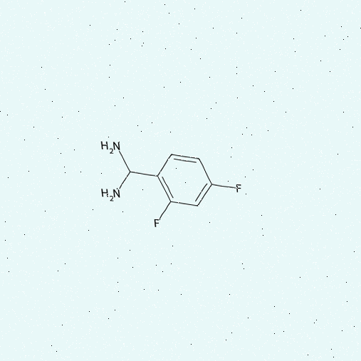 NC(N)c1ccc(F)cc1F